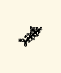 O=C(O)C(F)(F)C(F)(F)C(F)(F)C(F)(C(F)(F)F)C(F)(F)F